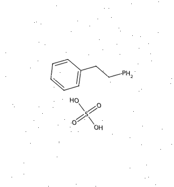 O=S(=O)(O)O.PCCc1ccccc1